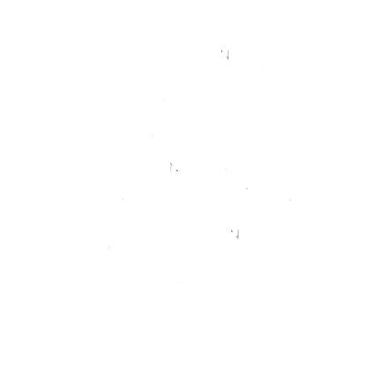 CC(C)c1ccc(N2CCC(N(C)C)CC2)c(-n2cccc2)c1